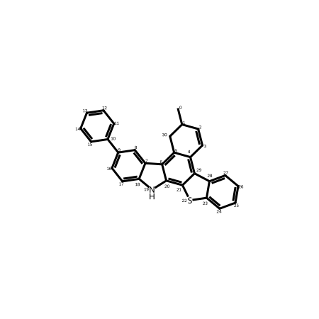 CC1C=Cc2c(c3c4cc(-c5ccccc5)ccc4[nH]c3c3sc4ccccc4c23)C1